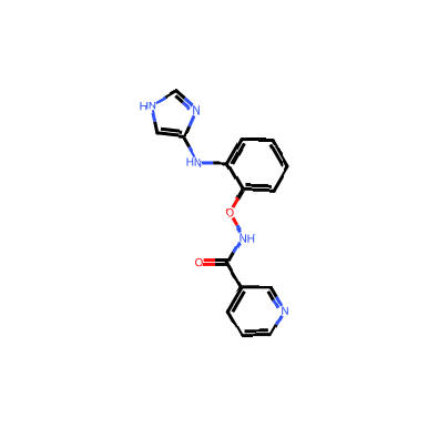 O=C(NOc1ccccc1Nc1c[nH]cn1)c1cccnc1